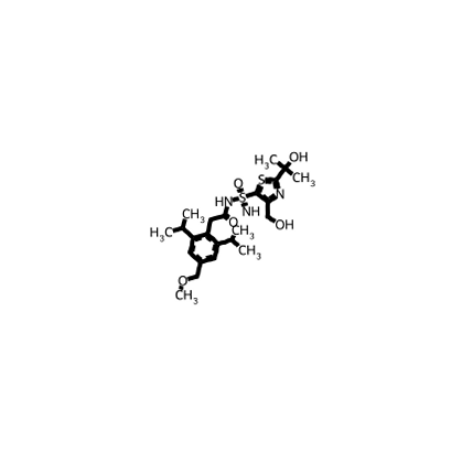 COCc1cc(C(C)C)c(CC(=O)NS(=N)(=O)c2sc(C(C)(C)O)nc2CO)c(C(C)C)c1